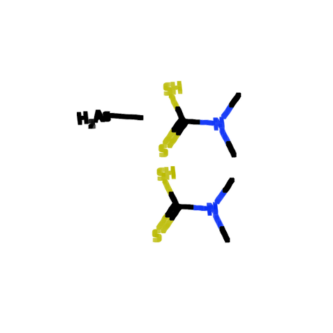 CN(C)C(=S)S.CN(C)C(=S)S.C[AsH2]